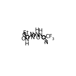 CCOc1cc(-c2ncc(NC(=O)Nc3ccc(CN(C)C)c(C(F)(F)F)c3)cn2)c[nH]c1=O